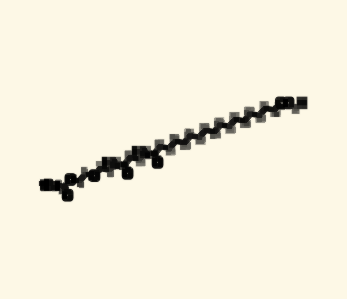 CC(C)(C)C(=O)OCCOCCNC(=O)CCNC(=O)CCCCCCCCCCCCCCCCC(=O)O